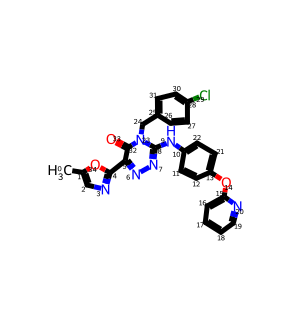 Cc1cnc(-c2nnc(Nc3ccc(Oc4ccccn4)cc3)n(Cc3ccc(Cl)cc3)c2=O)o1